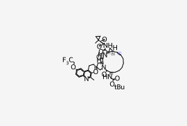 Cc1nc2ccc(OCC(F)(F)F)cc2c2c1O[C@]1(CC2)C[C@H]2C(=O)N[C@]3(C(=O)NS(=O)(=O)C4(C)CC4)C[C@H]3/C=C\CCCCC[C@H](NC(=O)OC(C)(C)C)C(=O)N2C1